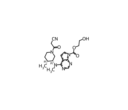 C[C@@H]1CCN(C(=O)CC#N)C[C@@H]1N(C)c1ncnc2c1ccn2C(=O)OCCO